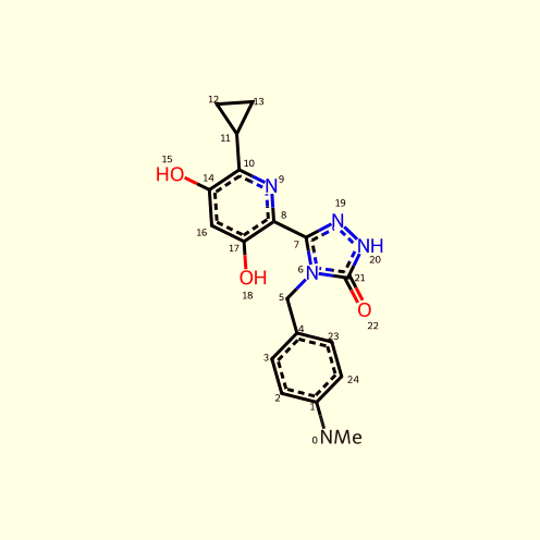 CNc1ccc(Cn2c(-c3nc(C4CC4)c(O)cc3O)n[nH]c2=O)cc1